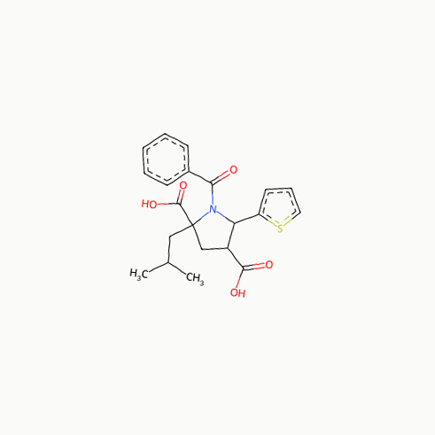 CC(C)CC1(C(=O)O)CC(C(=O)O)C(c2cccs2)N1C(=O)c1ccccc1